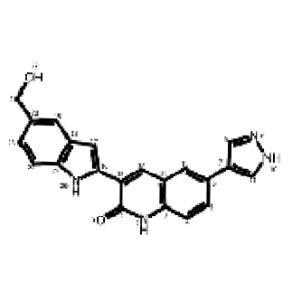 O=c1[nH]c2ccc(-c3cn[nH]c3)cc2cc1-c1cc2cc(CO)ccc2[nH]1